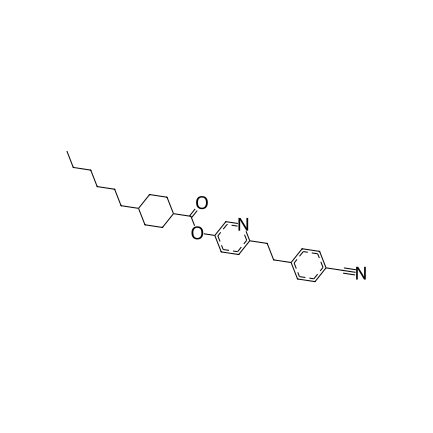 CCCCCCC1CCC(C(=O)Oc2ccc(CCc3ccc(C#N)cc3)nc2)CC1